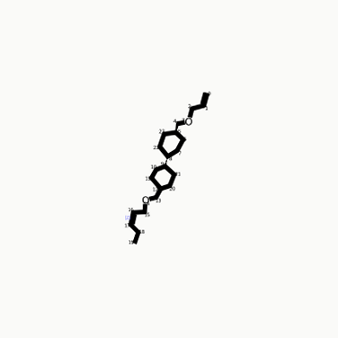 C=CCOC[C@H]1CC[C@H](C2CCC(COC/C=C\CC)CC2)CC1